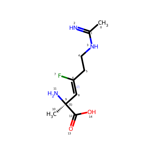 CC(=N)NCC/C(F)=C/[C@](C)(N)C(=O)O